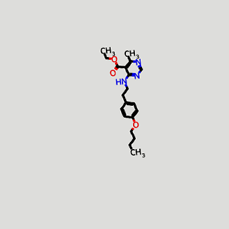 CCCCOc1ccc(CCNc2ncnc(C)c2C(=O)OCC)cc1